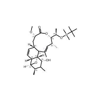 CO[C@H]1C[C@H]2C=C[C@H]3[C@H]4O[C@]2(/C(C)=C/[C@@H](C)[C@@H]([C@@H](C)O[Si](C)(C)C(C)(C)C)OC1=O)[C@@H]3[C@H](O)C(C)[C@H]4C